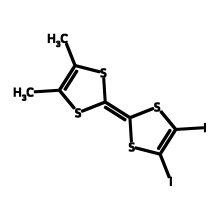 CC1=C(C)SC(=C2SC(I)=C(I)S2)S1